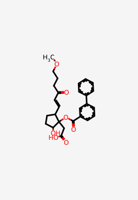 COCCCC(=O)C=CC1CCC(O)C1(CC(=O)O)OC(=O)c1cccc(-c2ccccc2)c1